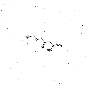 CCOCC(=O)CC(C)C